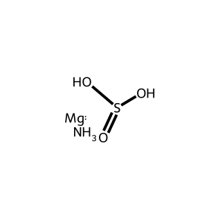 N.O=S(O)O.[Mg]